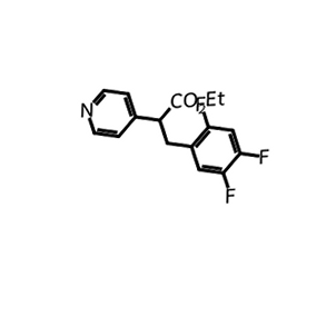 CCOC(=O)C(Cc1cc(F)c(F)cc1F)c1ccncc1